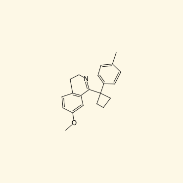 COc1ccc2c(c1)C(C1(c3ccc(C)cc3)CCC1)=NCC2